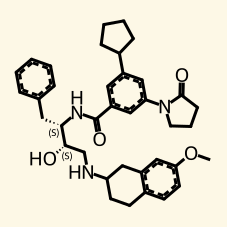 COc1ccc2c(c1)CC(NC[C@H](O)[C@H](Cc1ccccc1)NC(=O)c1cc(C3CCCC3)cc(N3CCCC3=O)c1)CC2